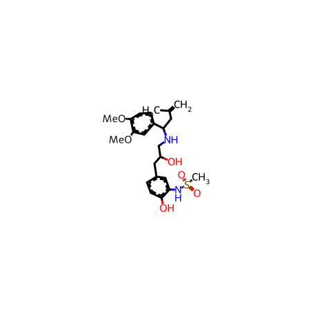 C=C(C)CC(NCC(O)Cc1ccc(O)c(NS(C)(=O)=O)c1)c1ccc(OC)c(OC)c1